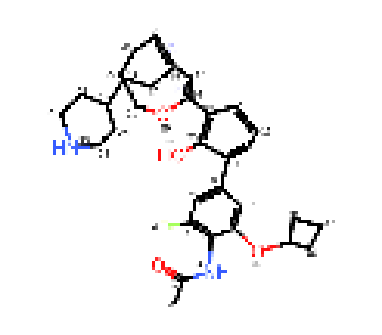 CC(=O)Nc1c(F)cc(-c2cccc(/C3=C/C(CCC4CCNCC4)=C/CCCO3)c2O)cc1OC1CCC1